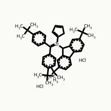 CC(C)(C)c1ccc([C](c2ccc(C(C)(C)C)cc2)=[Zr]([C]2=CC=CC2)[CH]2c3cc(C(C)(C)C)ccc3-c3ccc(C(C)(C)C)cc32)cc1.Cl.Cl